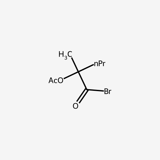 CCCC(C)(OC(C)=O)C(=O)Br